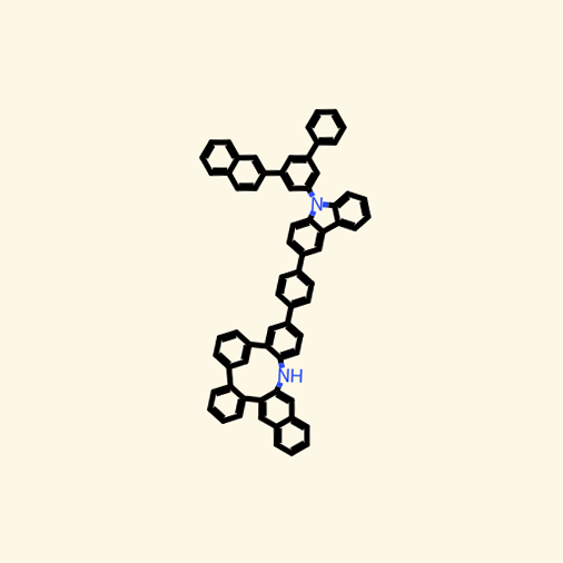 c1ccc(-c2cc(-c3ccc4ccccc4c3)cc(-n3c4ccccc4c4cc(-c5ccc(-c6ccc7c(c6)-c6cccc(c6)-c6ccccc6-c6cc8ccccc8cc6N7)cc5)ccc43)c2)cc1